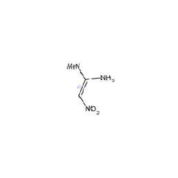 CN/C(N)=C/[N+](=O)[O-]